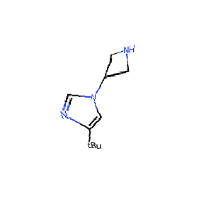 CC(C)(C)c1cn(C2CNC2)cn1